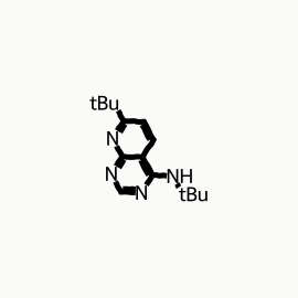 CC(C)(C)Nc1ncnc2nc(C(C)(C)C)ccc12